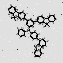 CC1(C)c2ccccc2-c2ccc(-c3cc(-c4ccc5c(c4)C(C)(C)c4ccccc4-5)cc(N(c4ccccc4)c4ccc(-c5cccc6c5oc5ccccc56)cc4)c3)cc21